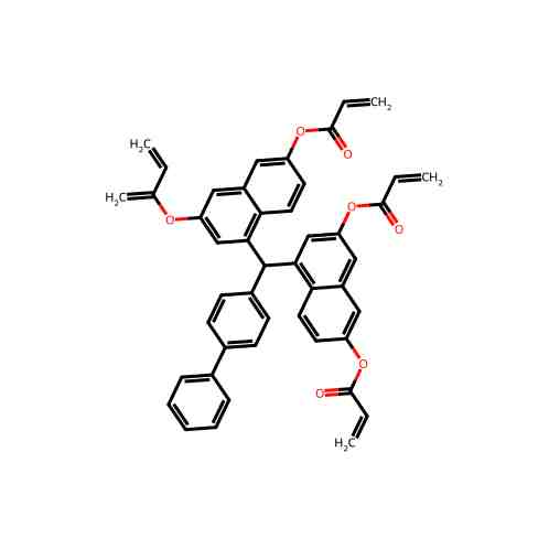 C=CC(=C)Oc1cc(C(c2ccc(-c3ccccc3)cc2)c2cc(OC(=O)C=C)cc3cc(OC(=O)C=C)ccc23)c2ccc(OC(=O)C=C)cc2c1